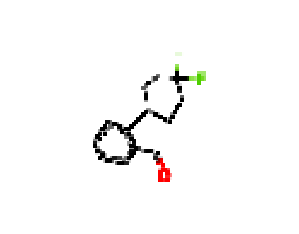 O=Cc1ccccc1C1CCC(F)(F)CC1